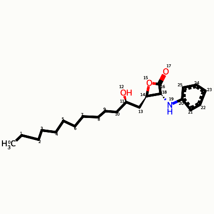 CCCCCCCCCCC[C@@H](O)C[C@H]1OC(=O)[C@@H]1Nc1ccccc1